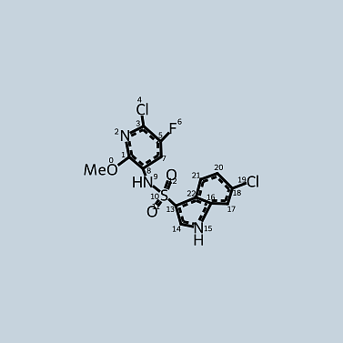 COc1nc(Cl)c(F)cc1NS(=O)(=O)c1c[nH]c2cc(Cl)ccc12